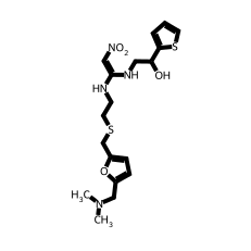 CN(C)Cc1ccc(CSCCNC(=C[N+](=O)[O-])NCC(O)c2cccs2)o1